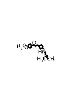 COc1ccc(C(=O)C=Cc2ccc(CNCCCN(C)C)cc2)cc1